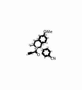 C#CC(=O)N1[C@@H](c2ccc(C#N)cc2)c2ccc(OC)cc2C[C@@H]1C